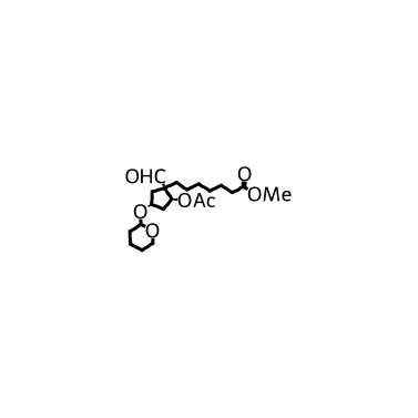 COC(=O)CCCCCC[C@@]1(C=O)C[C@@H](OC2CCCCO2)C[C@@H]1OC(C)=O